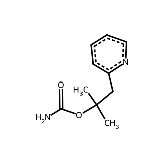 CC(C)(Cc1ccccn1)OC(N)=O